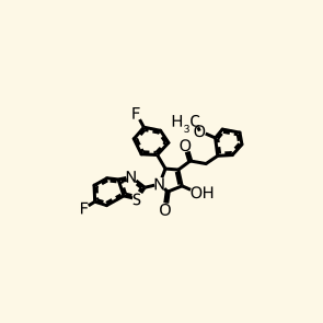 COc1ccccc1CC(=O)C1=C(O)C(=O)N(c2nc3ccc(F)cc3s2)C1c1ccc(F)cc1